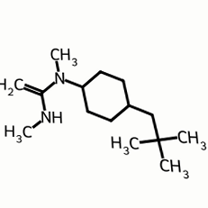 C=C(NC)N(C)C1CCC(CC(C)(C)C)CC1